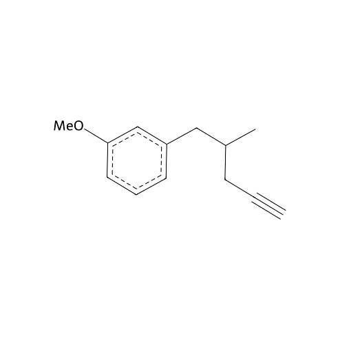 C#CCC(C)Cc1cccc(OC)c1